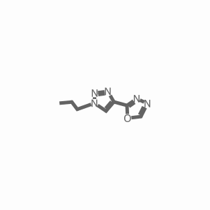 CCCn1cc(-c2nnco2)nn1